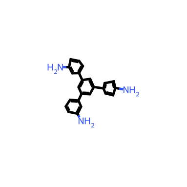 Nc1ccc(-c2cc(-c3cccc(N)c3)cc(-c3cccc(N)c3)c2)cc1